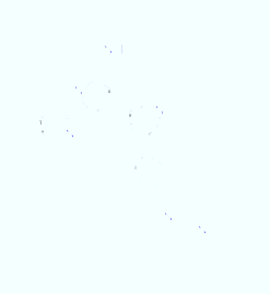 CC(C)N1CCN(Cc2ccc(-c3cncc(-c4cc(CN)nc(-c5ccccn5)c4)c3)cc2)CC1